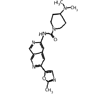 Cc1ncc(-c2cc3cc(NC(=O)N4CCC(N(C)C)CC4)ncc3cn2)o1